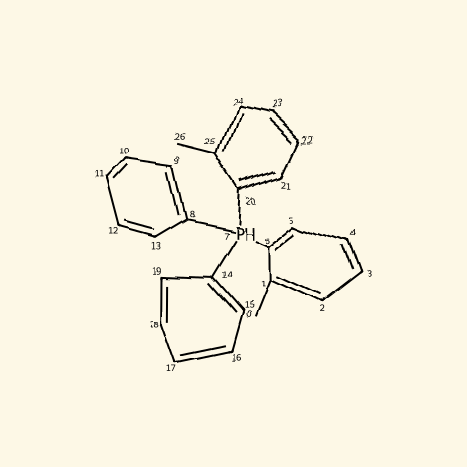 Cc1ccccc1[PH](c1ccccc1)(c1ccccc1)c1ccccc1C